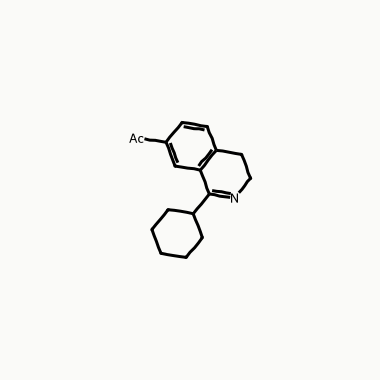 CC(=O)c1ccc2c(c1)C(C1CCCCC1)=NCC2